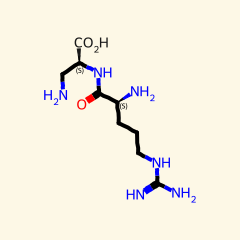 N=C(N)NCCC[C@H](N)C(=O)N[C@@H](CN)C(=O)O